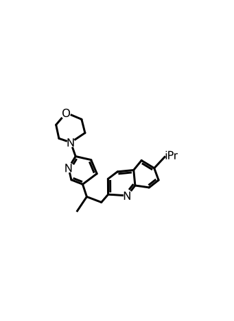 CC(C)c1ccc2nc(CC(C)c3ccc(N4CCOCC4)nc3)ccc2c1